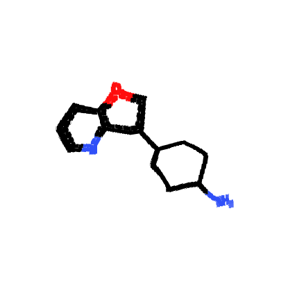 NC1CCC(c2coc3cccnc23)CC1